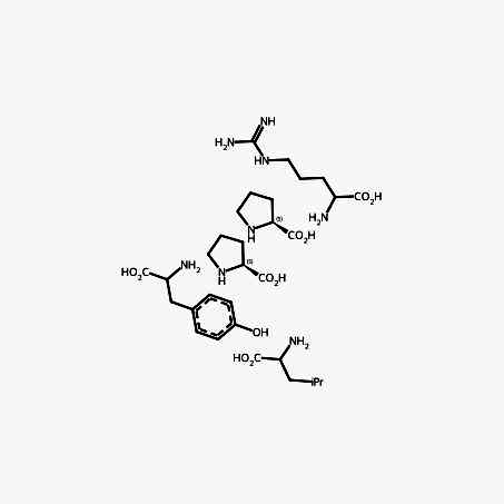 CC(C)CC(N)C(=O)O.N=C(N)NCCCC(N)C(=O)O.NC(Cc1ccc(O)cc1)C(=O)O.O=C(O)[C@@H]1CCCN1.O=C(O)[C@@H]1CCCN1